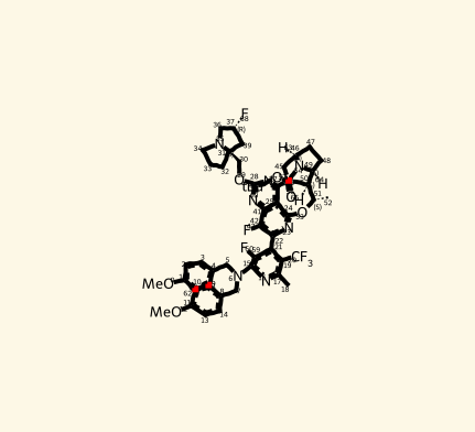 COc1ccc(CN(Cc2ccc(OC)cc2)c2nc(C)c(C(F)(F)F)c(-c3nc4c5c(nc(OC[C@@]67CCCN6C[C@H](F)C7)nc5c3F)N3C[C@H]5CC[C@@H]([C@H]3[C@H](C)O4)N5C(=O)OC(C)(C)C)c2F)cc1